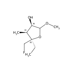 CC[C@@]1(CF)OC(OC)[C@H](O)[C@@H]1C